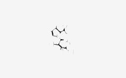 CC(=O)c1cccn1C(=O)/C(Cl)=C(/Cl)C(=O)O